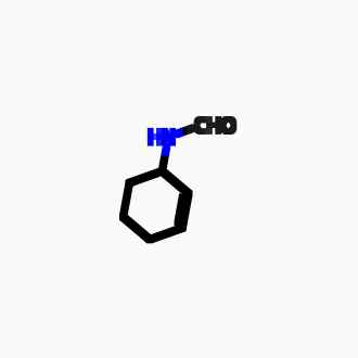 O=CNC1C=CCCC1